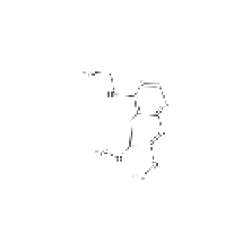 CCNc1ncnc2nc(OC)c(OC)cc12